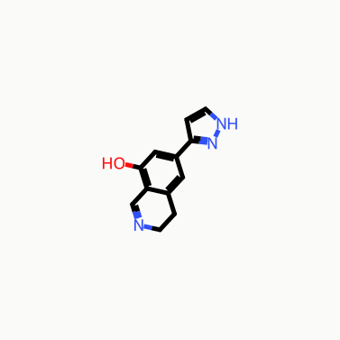 Oc1cc(-c2cc[nH]n2)cc2c1C=NCC2